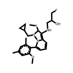 COc1cc(C)cc(C)c1C1=CC=CC2=C(NCC(O)CF)C(SC)N(CC3CC3)N12